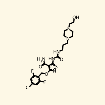 NC(=O)c1c(OCc2c(F)cc(Cl)cc2F)nsc1NC(=O)NCCCN1CCN(CCO)CC1